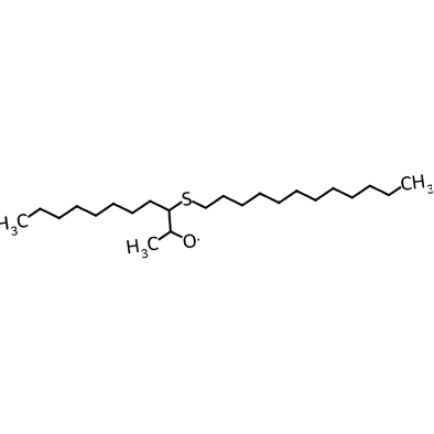 CCCCCCCCCCCCSC(CCCCCCCC)C(C)[O]